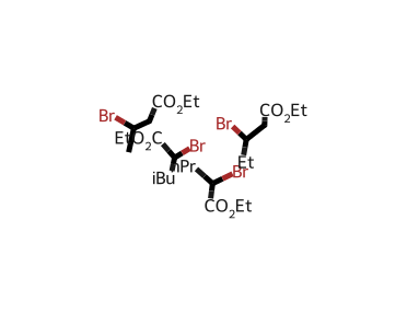 CCCC(Br)C(=O)OCC.CCOC(=O)C(Br)C(C)CC.CCOC(=O)CC(Br)CC.CCOC(=O)CC(C)Br